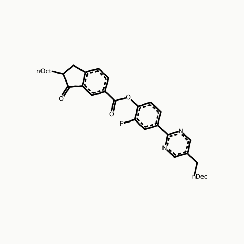 CCCCCCCCCCCc1cnc(-c2ccc(OC(=O)c3ccc4c(c3)C(=O)C(CCCCCCCC)C4)c(F)c2)nc1